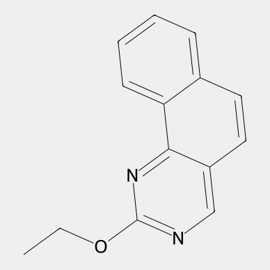 CCOc1ncc2ccc3ccccc3c2n1